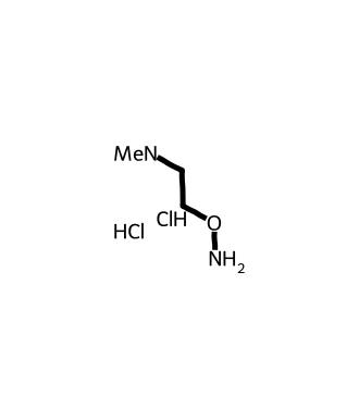 CNCCON.Cl.Cl